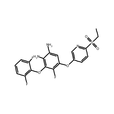 CCS(=O)(=O)c1ccc(Oc2cc(N)c(N)c(Oc3c(F)cccc3F)c2F)cn1